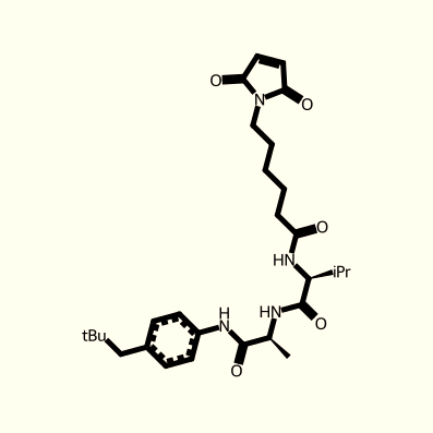 CC(C)[C@H](NC(=O)CCCCCN1C(=O)C=CC1=O)C(=O)N[C@@H](C)C(=O)Nc1ccc(CC(C)(C)C)cc1